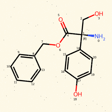 N[C@](CO)(C(=O)OCc1ccccc1)c1ccc(O)cc1